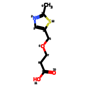 Cc1ncc(COCCC(=O)O)s1